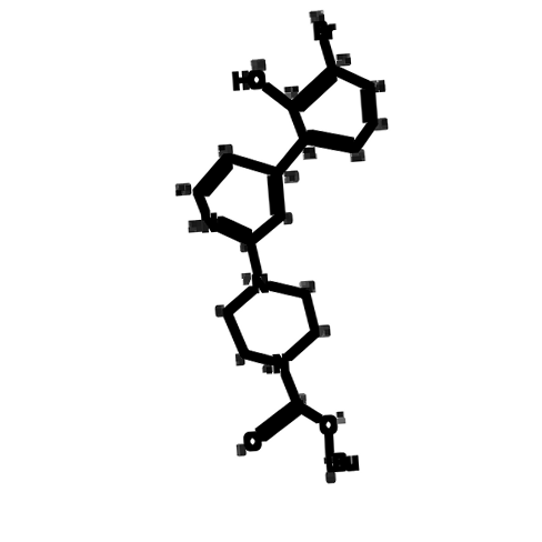 CC(C)(C)OC(=O)N1CCN(c2cc(-c3cccc(Br)c3O)ccn2)CC1